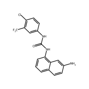 Nc1ccc2cccc(NC(=O)Nc3ccc(Cl)c(C(F)(F)F)c3)c2c1